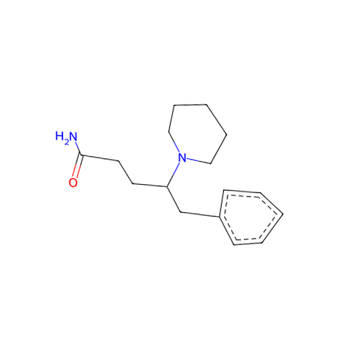 NC(=O)CCC(Cc1ccccc1)N1CCCCC1